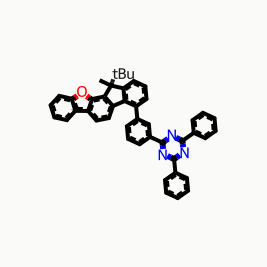 CC(C)(C)C1(C)c2cccc(-c3cccc(-c4nc(-c5ccccc5)nc(-c5ccccc5)n4)c3)c2-c2ccc3c(oc4ccccc43)c21